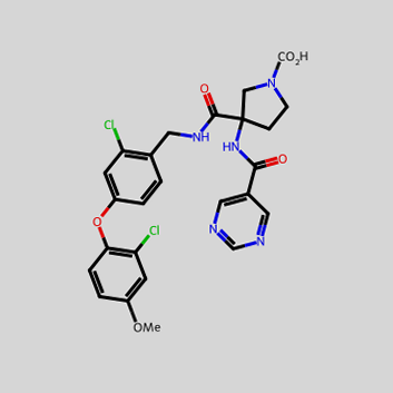 COc1ccc(Oc2ccc(CNC(=O)C3(NC(=O)c4cncnc4)CCN(C(=O)O)C3)c(Cl)c2)c(Cl)c1